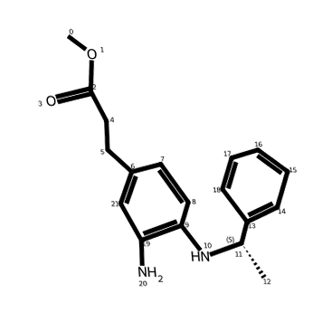 COC(=O)CCc1ccc(N[C@@H](C)c2ccccc2)c(N)c1